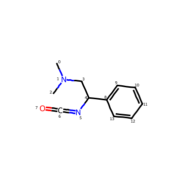 CN(C)CC(N=C=O)c1ccccc1